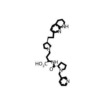 O=C(O)C(CCN1CC[C@@H](CCc2ccc3c(n2)NCCC3)C1)NC(=O)[C@@H]1CCCN1Cc1cccnc1